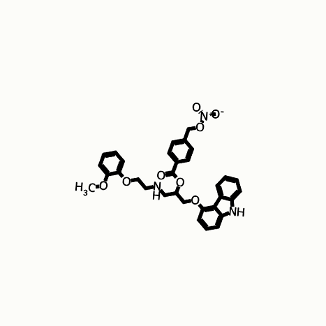 COc1ccccc1OCCNCC(COc1cccc2[nH]c3ccccc3c12)OC(=O)c1ccc(CO[N+](=O)[O-])cc1